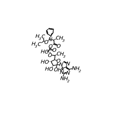 CC(C)ON(c1ccccc1)[C@@H](C)C(=O)OP(=O)(O)O[C@@H](C)[C@H]1O[C@](O)(n2cnc3c(N)nc(N)nc32)[C@H](O)[C@@H]1O